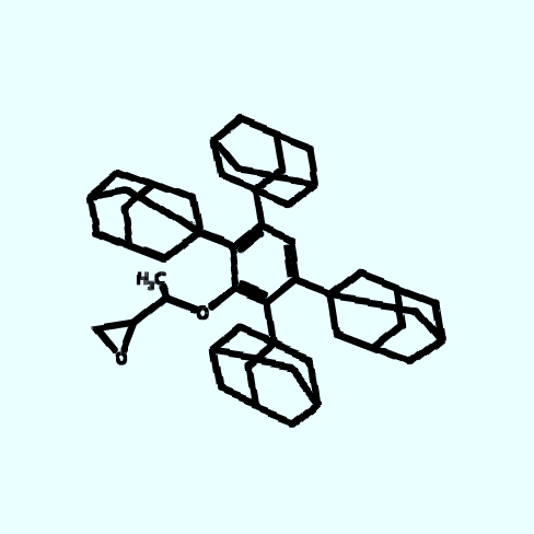 CC(Oc1c(C23CC4CC(CC(C4)C2)C3)c(C23CC4CC(CC(C4)C2)C3)cc(C23CC4CC(CC(C4)C2)C3)c1C12CC3CC(CC(C3)C1)C2)C1CO1